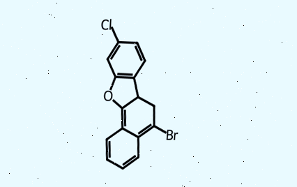 Clc1ccc2c(c1)OC1=c3ccccc3=C(Br)CC12